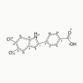 O=C(O)c1ccc(-c2cc3cc(Cl)c(Cl)cc3[nH]2)cc1